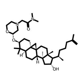 C=C(C)CCC[C@@H](C)C1[C@H](O)C[C@@]2(C)[C@@H]3CC[C@H]4C(C)(C)[C@@H](O[C@H]5CN(CC(=O)N(C)C)CCO5)CC[C@@]45C[C@@]35CC[C@]12C